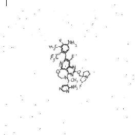 Cc1c(F)c(N)cc(-c2nc3c4c(nc(OC[C@@]56CCCN5C[C@H](F)C6)nc4c2F)N([C@H](C)c2cncnc2N)CCO3)c1C(F)(F)F